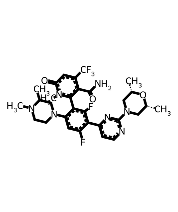 CC1CN(c2cc(F)c(-c3ccnc(N4C[C@@H](C)O[C@@H](C)C4)n3)c(F)c2-c2c(C(N)=O)c(C(F)(F)F)cc(=O)n2C)CCN1C